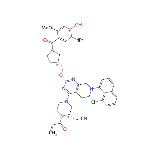 C=CC(=O)N1CCN(c2nc(OC[C@@H]3CCN(C(=O)c4cc(C(C)C)c(O)cc4OC)C3)nc3c2CCN(c2cccc4cccc(Cl)c24)C3)C[C@@H]1CC#N